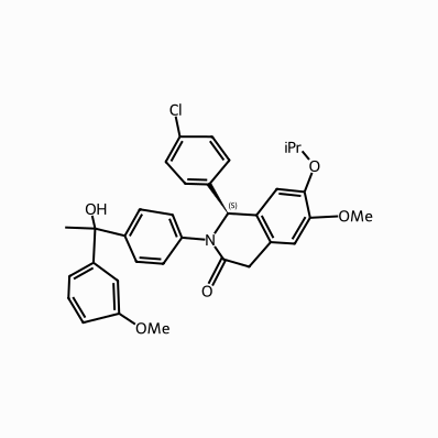 COc1cccc(C(C)(O)c2ccc(N3C(=O)Cc4cc(OC)c(OC(C)C)cc4[C@@H]3c3ccc(Cl)cc3)cc2)c1